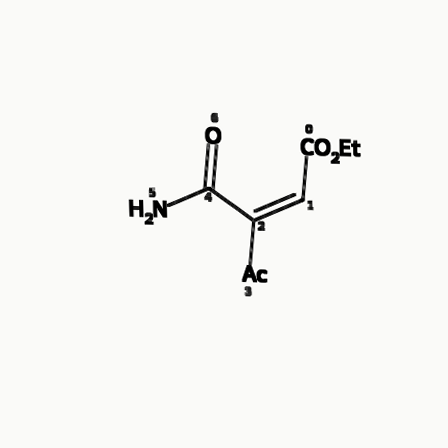 CCOC(=O)/C=C(/C(C)=O)C(N)=O